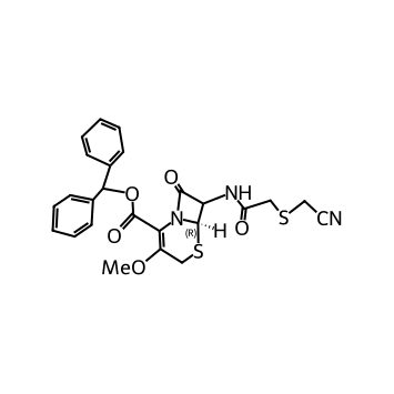 COC1=C(C(=O)OC(c2ccccc2)c2ccccc2)N2C(=O)C(NC(=O)CSCC#N)[C@H]2SC1